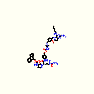 CCCCCNc1nc(N)nc2ccn(Cc3ccc(CN4CC(NC(=O)OCc5ccc(NC(=O)[C@H](CCCNC(N)=O)NC(=O)[C@@H](NC(=O)OCC6c7ccccc7-c7ccccc76)C(C)C)cc5)C4)cc3OC)c12